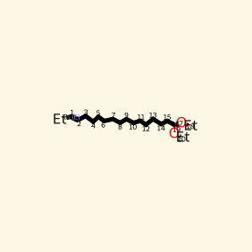 CC/C=C/CCCCCCCCCCCCCC(OCC)OCC